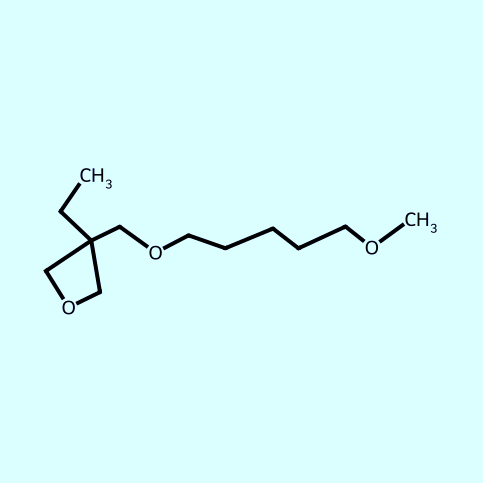 CCC1(COCCCCCOC)COC1